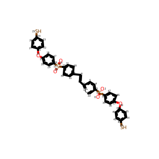 O=S(=O)(c1ccc(C=Cc2ccc(S(=O)(=O)c3ccc(Oc4ccc(S)cc4)cc3)cc2)cc1)c1ccc(Oc2ccc(S)cc2)cc1